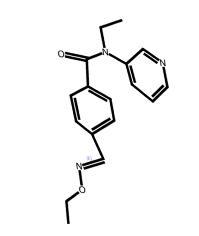 CCO/N=C/c1ccc(C(=O)N(CC)c2cccnc2)cc1